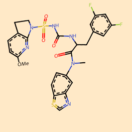 COc1ccc2c(n1)N(S(=O)(=O)NC(=O)NC(Cc1cc(F)cc(F)c1)C(=O)N(C)c1ccc3scnc3c1)CC2